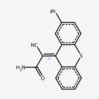 CC(C)c1ccc2c(c1)/C(=C(\C#N)C(N)=O)c1ccccc1S2